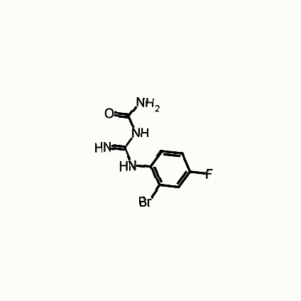 N=C(NC(N)=O)Nc1ccc(F)cc1Br